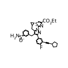 CCOC(=O)c1csc(-n2nc(-c3ccc(F)c(C#CC4CCCC4)c3)c(Cc3cccc([S+](N)[O-])c3)c2CC2CC2)n1